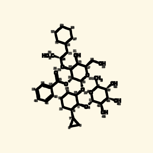 C[C@H]1O[C@@H](O[C@H]2[C@@H](C3CC3)CCC[C@H]2O[C@H]2O[C@H](CO)[C@H](O)[C@H](O[C@@H](CC3CCCCC3)C(=O)O)[C@H]2OC(=O)c2ccccc2)[C@H](O)[C@@H](O)[C@H]1O